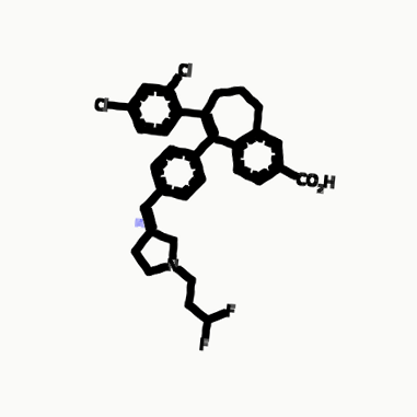 O=C(O)c1ccc2c(c1)CCCC(c1ccc(Cl)cc1Cl)=C2c1ccc(/C=C2/CCN(CCC(F)F)C2)cc1